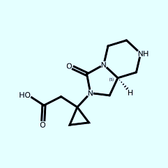 O=C(O)CC1(N2C[C@@H]3CNCCN3C2=O)CC1